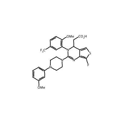 COc1cccc(N2CCN(C3=Nc4c(csc4F)C(CC(=O)O)N3c3cc(C(F)(F)F)ccc3OC)CC2)c1